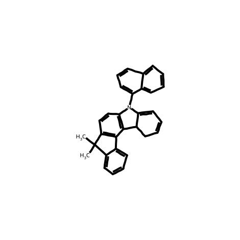 CC1(C)c2ccccc2-c2c1ccc1c2C2CC=CC=C2N1c1cccc2ccccc12